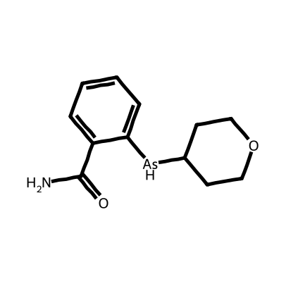 NC(=O)c1ccccc1[AsH]C1CCOCC1